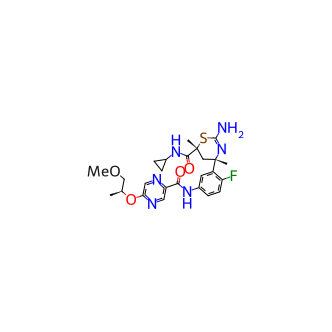 COC[C@H](C)Oc1cnc(C(=O)Nc2ccc(F)c([C@]3(C)C[C@](C)(C(=O)NC4CC4)SC(N)=N3)c2)cn1